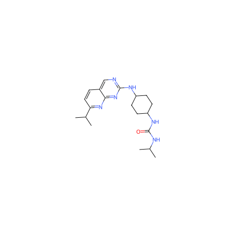 CC(C)NC(=O)NC1CCC(Nc2ncc3ccc(C(C)C)nc3n2)CC1